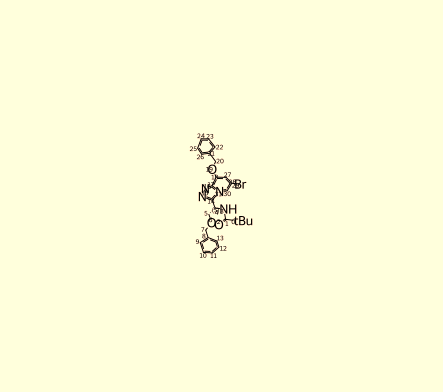 CC(C)(C)C(=O)N[C@H](COCc1ccccc1)c1nnc2c(OCc3ccccc3)cc(Br)cn12